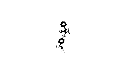 CCN(CC(F)(F)F)c1ccc(N=Nc2c(Cl)c(-c3ccccc3)[n+](C)n2C)cc1